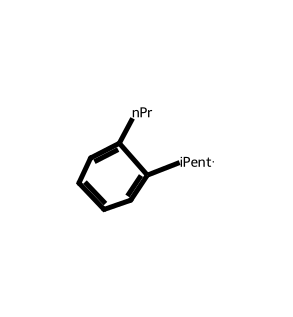 CCC[C](C)c1ccccc1CCC